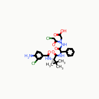 CC(C)(C)[C@H](NC(=O)c1ccc(N)c(Cl)c1)C(=O)NC(C(=O)NN(CC(=O)O)C(=O)CCl)c1ccccc1